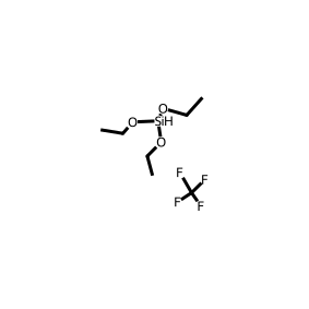 CCO[SiH](OCC)OCC.FC(F)(F)F